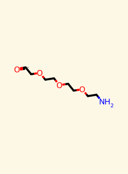 NCCOCCOCCOC[C]=O